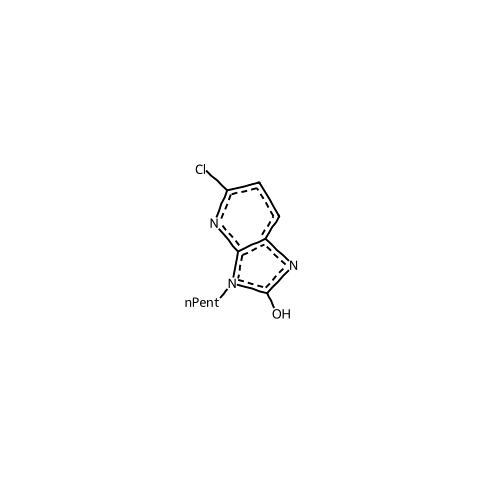 CCCCCn1c(O)nc2ccc(Cl)nc21